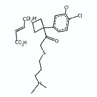 CN(C)CCCSCC(=O)C1(c2ccc(Cl)c(Cl)c2)CCC1.O=C(O)C=CC(=O)O